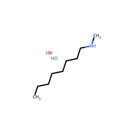 Br.CCCCCCCCNC.Cl